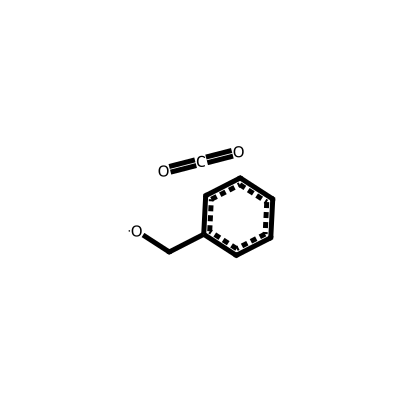 O=C=O.[O]Cc1ccccc1